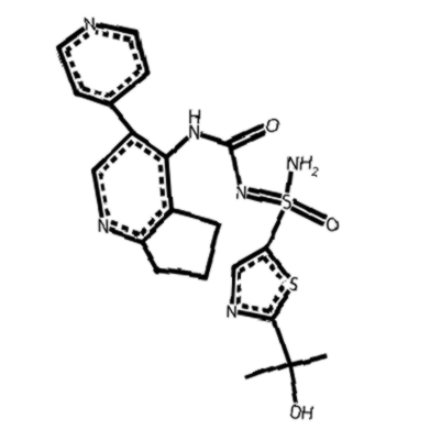 CC(C)(O)c1ncc(S(N)(=O)=NC(=O)Nc2c(-c3ccncc3)cnc3c2CCC3)s1